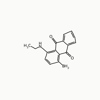 Bc1ccc(NCC)c2c1C(=O)c1ccccc1C2=O